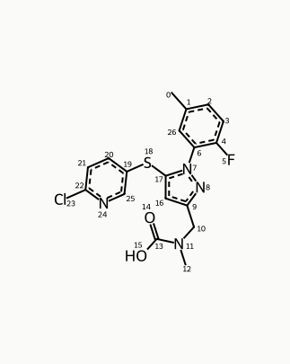 Cc1ccc(F)c(-n2nc(CN(C)C(=O)O)cc2Sc2ccc(Cl)nc2)c1